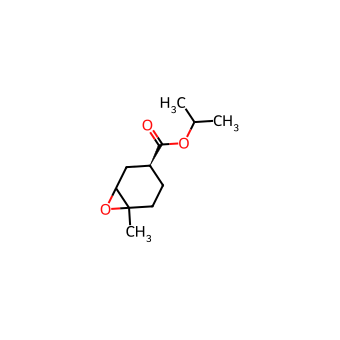 CC(C)OC(=O)[C@H]1CCC2(C)OC2C1